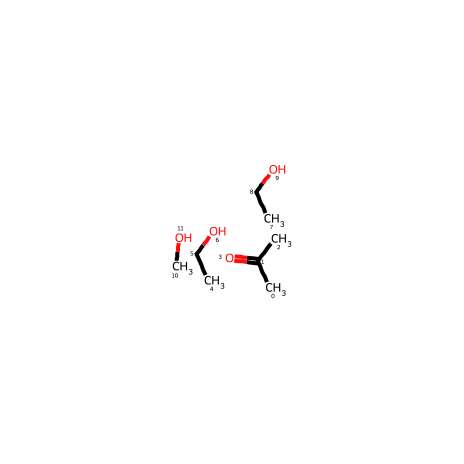 CC(C)=O.CCO.CCO.CO